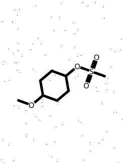 COC1CCC(OS(C)(=O)=O)CC1